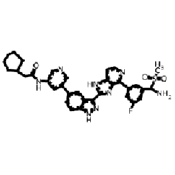 CS(=O)(=O)C(N)c1cc(F)cc(-c2nccc3[nH]c(-c4n[nH]c5ccc(-c6cncc(NC(=O)CC7CCCCC7)c6)cc45)nc23)c1